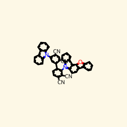 N#Cc1cc(C#N)c(-n2c3ccccc3c3ccccc32)cc1-c1ccc(C#N)c(C#N)c1-n1c2ccccc2c2c3oc4ccccc4c3ccc21